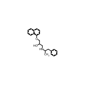 CC(Cc1ccccc1)NCC(O)COc1cccc2ccccc12